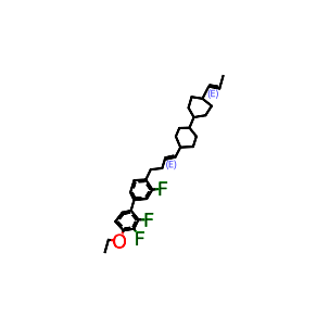 C/C=C/C1CCC(C2CCC(/C=C/CCc3ccc(-c4ccc(OCC)c(F)c4F)cc3F)CC2)CC1